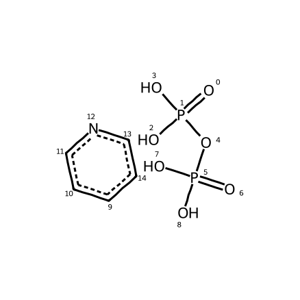 O=P(O)(O)OP(=O)(O)O.c1ccncc1